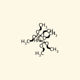 CCO[Si](N[Si](OCC)(OCC)OCC)(OCC)OCC